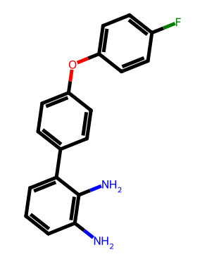 Nc1cccc(-c2ccc(Oc3ccc(F)cc3)cc2)c1N